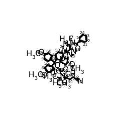 COc1ccc(C(O[C@H]2O[C@@H](n3cnc4c(N(C)C(=O)c5ccccc5)ncnc43)[C@H](OC)[C@@H]2OP(O)N(C(C)C)C(C)(C)CCC#N)(c2ccccc2)c2ccc(OC)cc2)cc1